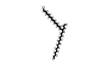 CCCCCCCCCCCCCCCC(CCC)CCCCCCCCCCCCCC